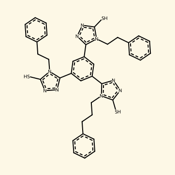 Sc1nnc(-c2cc(-c3nnc(S)n3CCc3ccccc3)cc(-c3nnc(S)n3CCc3ccccc3)c2)n1CCCc1ccccc1